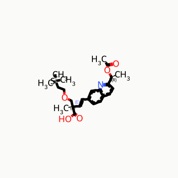 CC(=O)O[C@H](C)c1ccc2ccc(/C=C/[C@](C)(COCC[Si](C)(C)C)C(=O)O)cc2n1